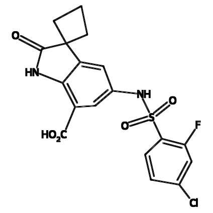 O=C(O)c1cc(NS(=O)(=O)c2ccc(Cl)cc2F)cc2c1NC(=O)C21CCC1